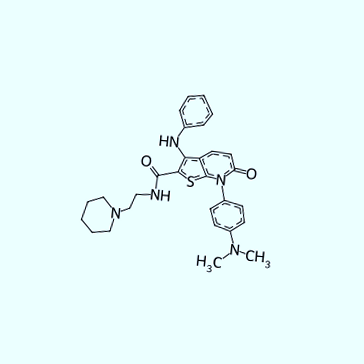 CN(C)c1ccc(-n2c(=O)ccc3c(Nc4ccccc4)c(C(=O)NCCN4CCCCC4)sc32)cc1